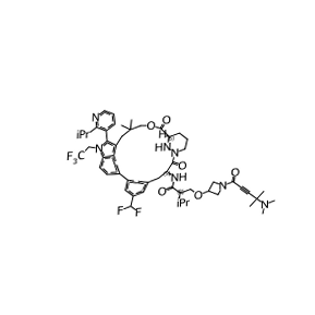 CC(C)c1ncccc1-c1c2c3cc(ccc3n1CC(F)(F)F)-c1cc(cc(C(F)F)c1)C[C@H](NC(=O)[C@@H](COC1CN(C(=O)C#CC(C)(C)N(C)C)C1)C(C)C)C(=O)N1CCC[C@H](N1)C(=O)OCC(C)(C)C2